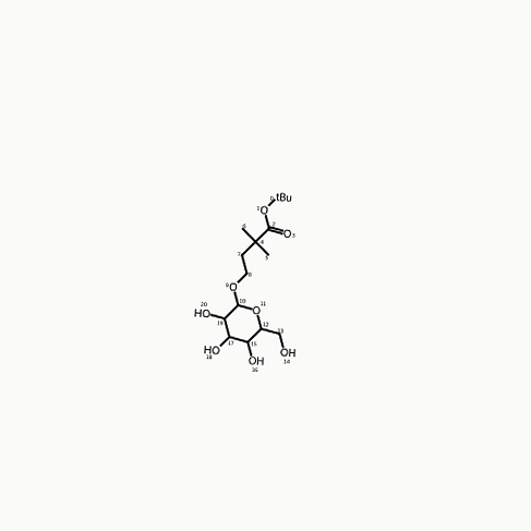 CC(C)(C)OC(=O)C(C)(C)CCOC1OC(CO)C(O)C(O)C1O